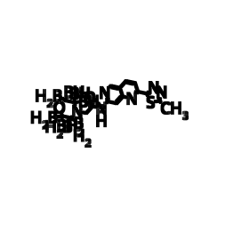 BC1(B)OC(B)(B)C(B)(B)N(CC(=O)Nc2cc3nc(-c4nnc(C)s4)ccc3cn2)C1(B)B